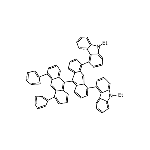 CCn1c2ccccc2c2c(-c3cccc4c(-c5c6cccc(-c7ccccc7)c6cc6c(-c7ccccc7)cccc56)c5cccc(-c6cccc7c6c6ccccc6n7CC)c5cc34)cccc21